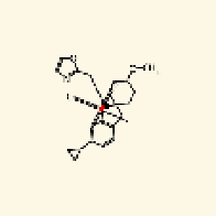 COC1CCC2(CC1)Cc1ccc(C3CC3)cc1C21NC(=O)N(Cc2ncco2)C1=O